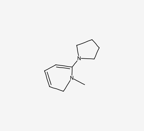 CN1CC=CC=C1N1CCCC1